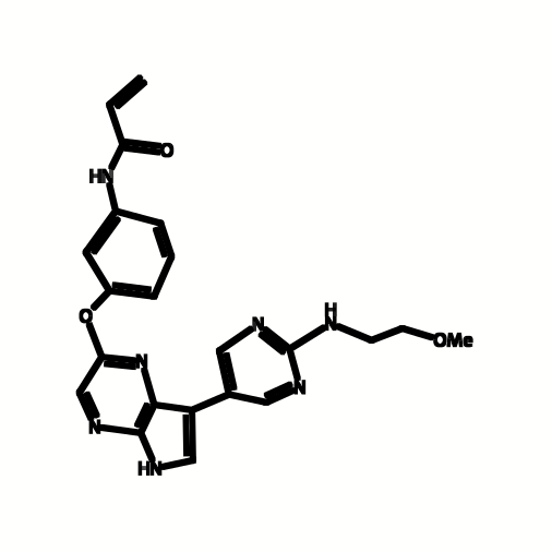 C=CC(=O)Nc1cccc(Oc2cnc3[nH]cc(-c4cnc(NCCOC)nc4)c3n2)c1